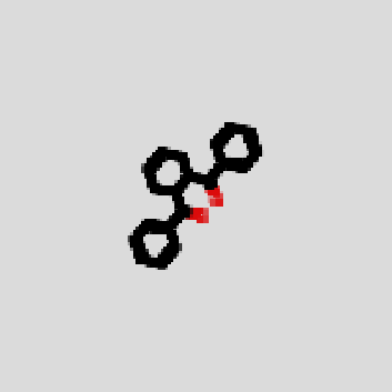 O=C(c1ccccc1)C1CC=CCC1C(=O)c1ccccc1